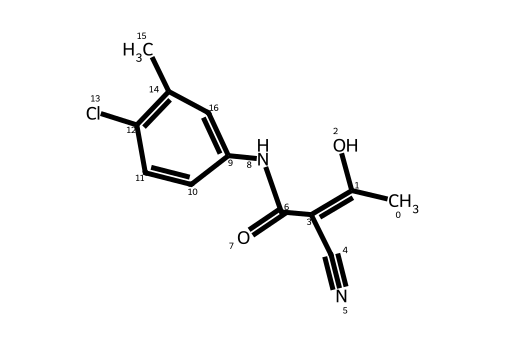 CC(O)=C(C#N)C(=O)Nc1ccc(Cl)c(C)c1